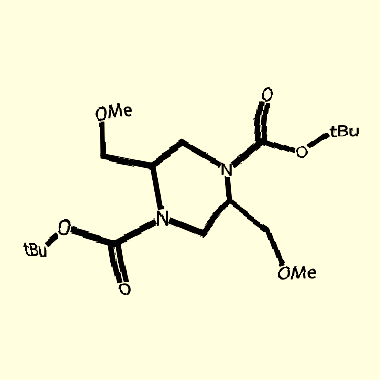 COCC1CN(C(=O)OC(C)(C)C)C(COC)CN1C(=O)OC(C)(C)C